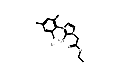 CCOC(=O)Cn1cc[n+](-c2c(C)cc(C)cc2C)c1N.[Br-]